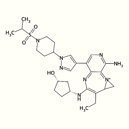 CCC1=C(N[C@@H]2CC[C@H](O)C2)N=c2c(-c3cnn(C4CCN(S(=O)(=O)C(C)C)CC4)c3)cnc(N)c2=[N+]2CC12